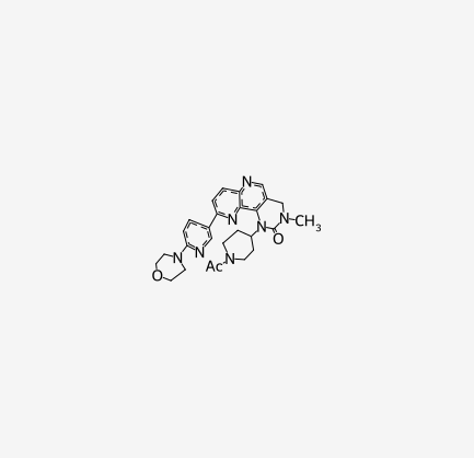 CC(=O)N1CCC(N2C(=O)N(C)Cc3cnc4ccc(-c5ccc(N6CCOCC6)nc5)nc4c32)CC1